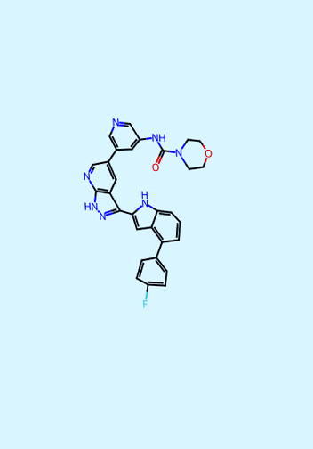 O=C(Nc1cncc(-c2cnc3[nH]nc(-c4cc5c(-c6ccc(F)cc6)cccc5[nH]4)c3c2)c1)N1CCOCC1